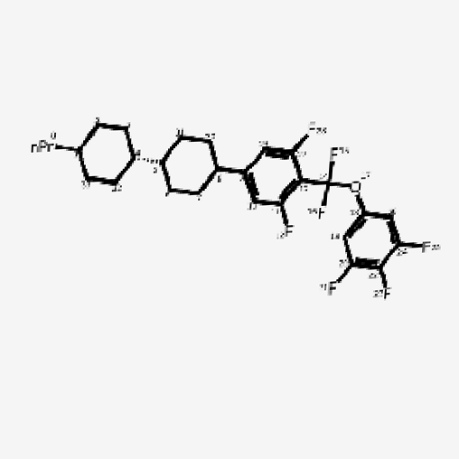 CCC[C@H]1CC[C@H](C2CCC(c3cc(F)c(C(F)(F)Oc4cc(F)c(F)c(F)c4)c(F)c3)CC2)CC1